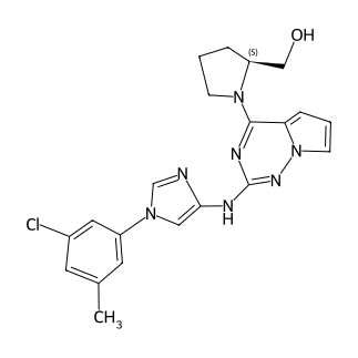 Cc1cc(Cl)cc(-n2cnc(Nc3nc(N4CCC[C@H]4CO)c4cccn4n3)c2)c1